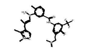 C/C(=C\N(N)c1cc(C(=O)Nc2cc(CN(C)C)c(F)c(C(F)(F)F)c2)ccc1C)c1cnn(C)c1C